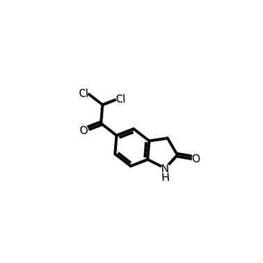 O=C1Cc2cc(C(=O)C(Cl)Cl)ccc2N1